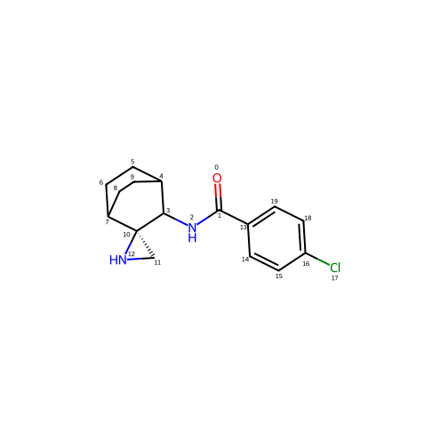 O=C(NC1C2CCC(CC2)[C@@]12CN2)c1ccc(Cl)cc1